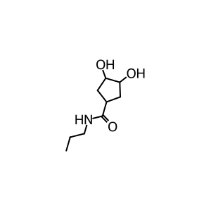 CCCNC(=O)C1CC(O)C(O)C1